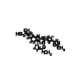 C=CC(=O)N1CCC[C@@H]1Cn1c(NC(=O)c2ccc(-c3cnc(C)o3)s2)nc2cc(CN[C@@H](C)CO)ccc21